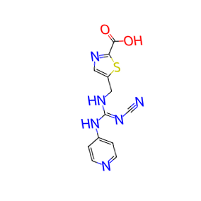 N#CN=C(NCc1cnc(C(=O)O)s1)Nc1ccncc1